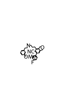 COc1cccc(CCN(C)CCCc2c(C#N)c(-c3ccc(F)cc3)cc3c2COC3)c1